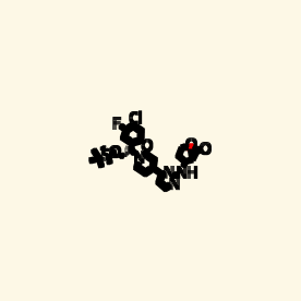 CC(C)(C)[Si](C)(C)OC[C@H](c1ccc(Cl)c(F)c1)n1ccc(-c2ccnc(NC3CC4CC3C(=O)O4)n2)cc1=O